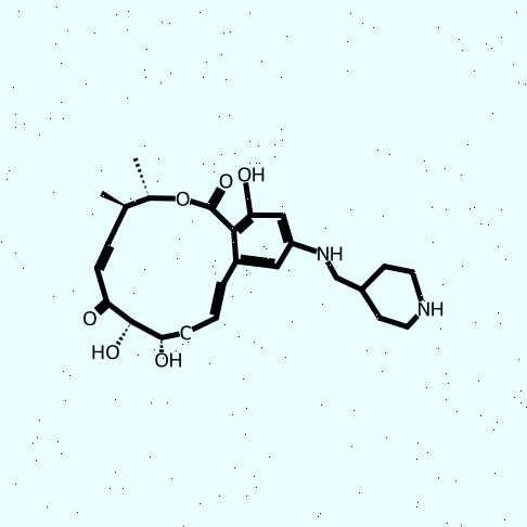 C[C@@H]1/C=C\C(=O)[C@@H](O)[C@@H](O)C/C=C/c2cc(NCC3CCNCC3)cc(O)c2C(=O)O[C@H]1C